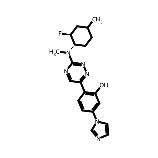 CC1CC[C@H](N(C)c2ncc(-c3ccc(-n4ccnc4)cc3O)nn2)[C@@H](F)C1